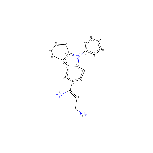 NC/C=C(\N)c1ccc2c(c1)c1c(n2-c2ccccc2)C=CCC1